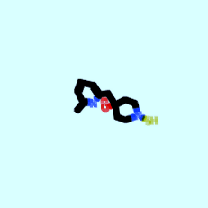 Cc1cccc(CC2(O)CCN(S)CC2)n1